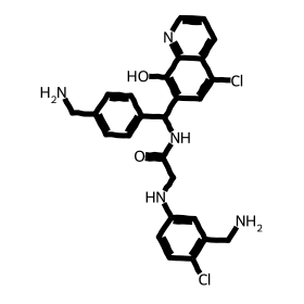 NCc1ccc(C(NC(=O)CNc2ccc(Cl)c(CN)c2)c2cc(Cl)c3cccnc3c2O)cc1